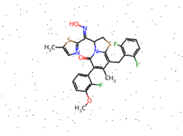 COc1cccc(-c2c(C)c(Cc3c(F)cccc3F)c3n(c2=O)C(/C(=N/O)c2ncc(C)s2)CS3)c1F